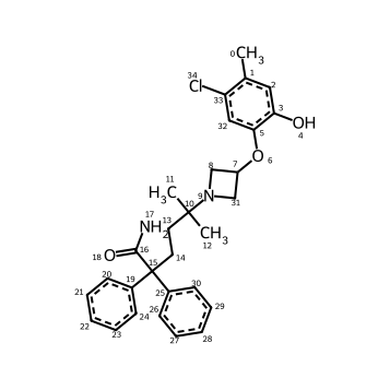 Cc1cc(O)c(OC2CN(C(C)(C)CCC(C(N)=O)(c3ccccc3)c3ccccc3)C2)cc1Cl